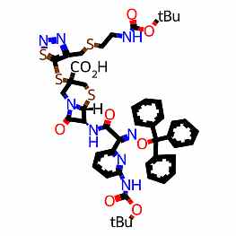 CC(C)(C)OC(=O)NCCSCc1nnsc1SC1(C(=O)O)CS[C@@H]2[C@H](NC(=O)C(=NOC(c3ccccc3)(c3ccccc3)c3ccccc3)c3cccc(NC(=O)OC(C)(C)C)n3)C(=O)N2C1